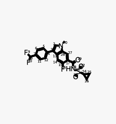 Cn1cc(-c2ccc(C(F)F)cc2)c2cc(F)c(C(=O)NS(=O)(=O)C3CC3)cc21